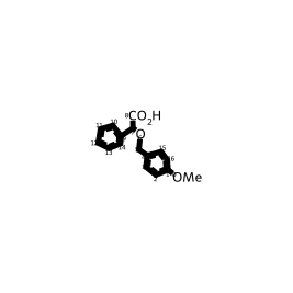 COc1ccc(COC(C(=O)O)c2ccccc2)cc1